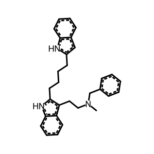 CN(CCc1c(CCCCc2cc3ccccc3[nH]2)[nH]c2ccccc12)Cc1ccccc1